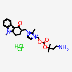 Cc1n(CC2CCc3c(c4ccccc4n3C)C2=O)cc[n+]1COC(=O)OC(C)(C)CCN.Cl.[Cl-]